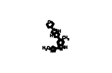 Cc1cc2[nH]nc(-c3cnn(C)c3)c2cc1C1C[C@@H]2CN(C3CCOCC3)C[C@@H]2C1